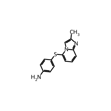 Cc1cn2c(Sc3ccc(N)cc3)cccc2n1